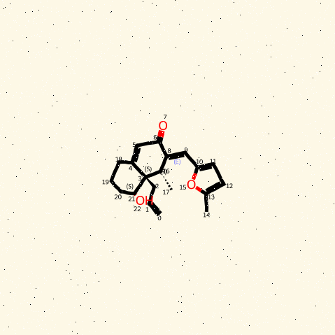 C=CC[C@@]12C(=CC(=O)/C(=C/c3ccc(C)o3)[C@@H]1C)CCC[C@@H]2O